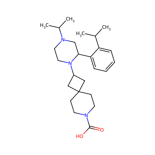 CC(C)c1ccccc1C1CN(C(C)C)CCN1C1CC2(CCN(C(=O)O)CC2)C1